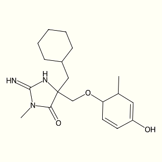 CC1C=C(O)C=CC1OCC1(CC2CCCCC2)NC(=N)N(C)C1=O